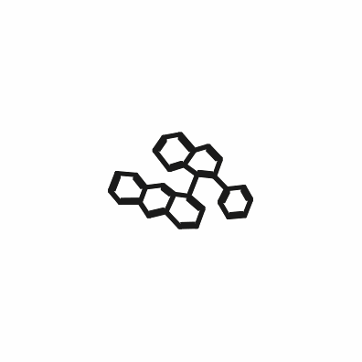 c1ccc(-c2ccc3ccccc3c2-c2cccc3cc4ccccc4cc23)cc1